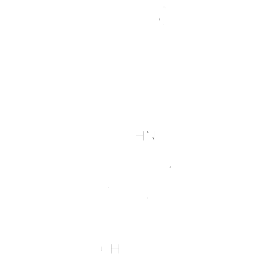 C/C=C\C=C/N/C=C/CC